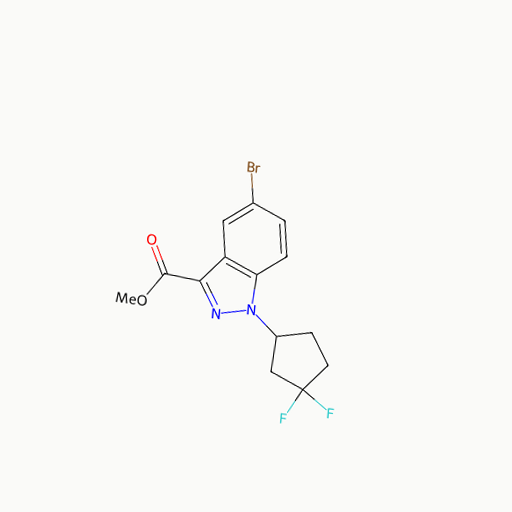 COC(=O)c1nn(C2CCC(F)(F)C2)c2ccc(Br)cc12